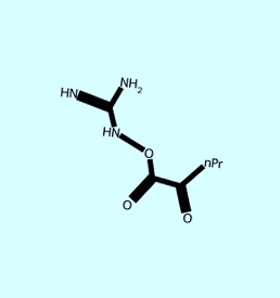 CCCC(=O)C(=O)ONC(=N)N